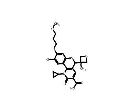 COCCCOc1cc2c(cc1Cl)-c1c(cc(C(=O)O)c(=O)n1C1CC1)C(C1(C)COC1)S2